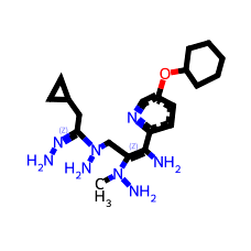 CN(N)/C(CN(N)/C(CC1CC1)=N\N)=C(\N)c1ccc(OC2CCCCC2)cn1